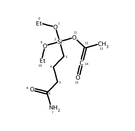 CCO[Si](CCCC(N)=O)(OCC)OC(C)=C=O